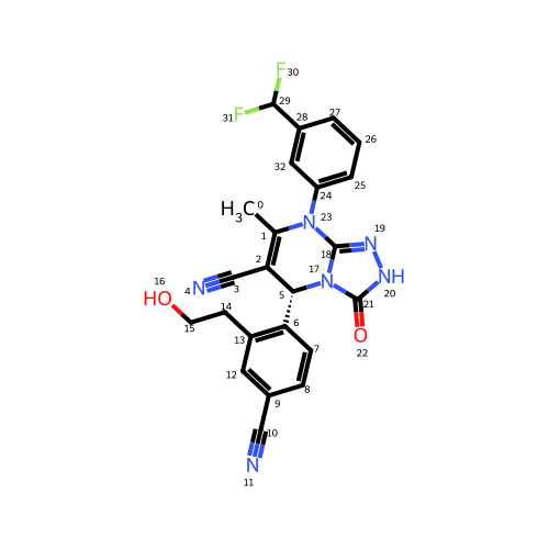 CC1=C(C#N)[C@@H](c2ccc(C#N)cc2CCO)n2c(n[nH]c2=O)N1c1cccc(C(F)F)c1